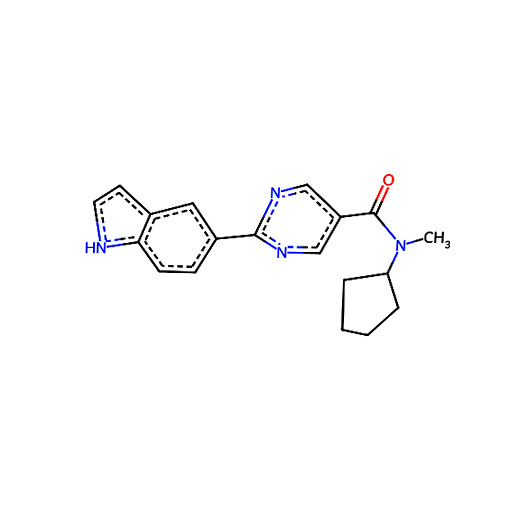 CN(C(=O)c1cnc(-c2ccc3[nH]ccc3c2)nc1)C1CCCC1